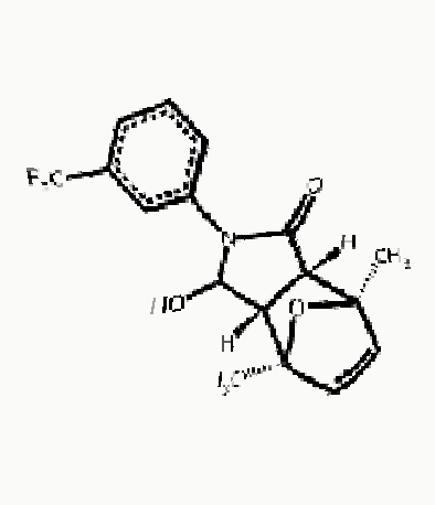 C[C@]12C=C[C@](C)(O1)[C@@H]1C(O)N(c3cccc(C(F)(F)F)c3)C(=O)[C@@H]12